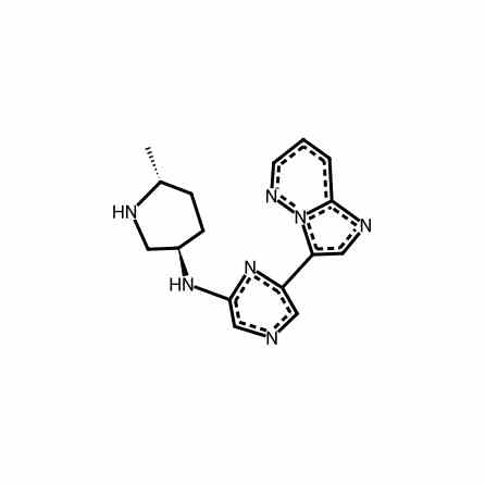 C[C@@H]1CC[C@@H](Nc2cncc(-c3cnc4cccnn34)n2)CN1